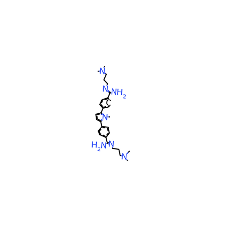 CN(C)CCCN=C(N)c1ccc(-c2ccc(-c3ccc(C(N)=NCCCN(C)C)cc3)n2C)cc1